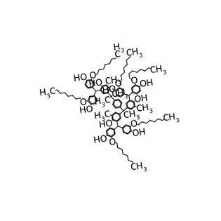 CCCCCCCCOc1cc(C(c2ccc(O)c(OCCCCCCCC)c2)c2cc(C(C)(C)c3ccc(C(C)(c4cc(C)c(O)c(C(c5ccc(O)c(OCCCCCCCC)c5)c5ccc(O)c(OCCCCCCCC)c5)c4)c4cc(C)c(O)c(C(c5ccc(O)c(OCCCCCCCC)c5)c5ccc(O)c(OCCCCCCCC)c5)c4)cc3)cc(C)c2O)ccc1O